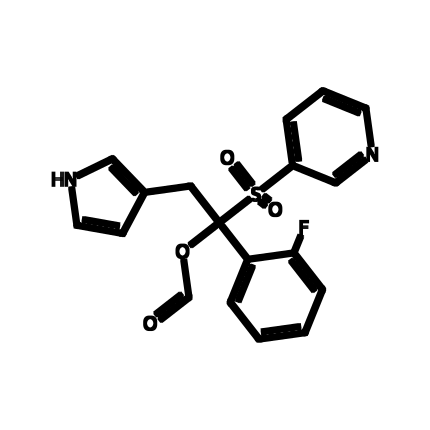 O=COC(Cc1cc[nH]c1)(c1ccccc1F)S(=O)(=O)c1cccnc1